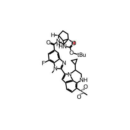 Cn1c(-c2cc3ccc(S(C)(=O)=O)c4c3n2C(C2CC2)CN4)nc2cc(C(=O)N3C[C@H]4CC[C@@H]3[C@@H]4NC(=O)OC(C)(C)C)cc(F)c21